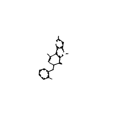 CC1=CC(Cc2ccccc2F)C(=O)c2c1c1sc(C)cc1n2C